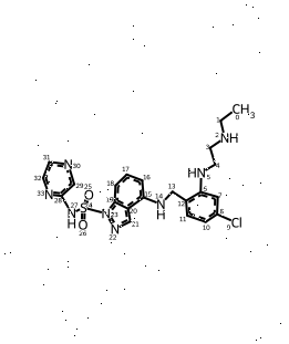 CCNCCNc1cc(Cl)ccc1CNc1cccc2c1cnn2S(=O)(=O)Nc1cnccn1